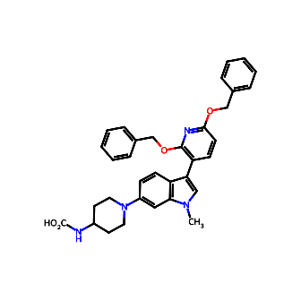 Cn1cc(-c2ccc(OCc3ccccc3)nc2OCc2ccccc2)c2ccc(N3CCC(NC(=O)O)CC3)cc21